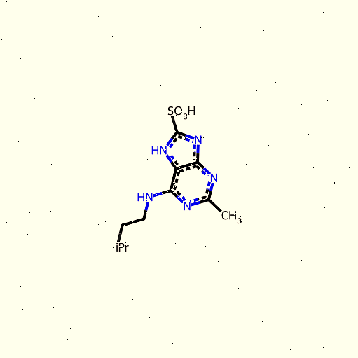 Cc1nc(NCCC(C)C)c2[nH]c(S(=O)(=O)O)nc2n1